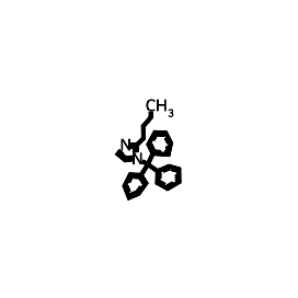 CCCCc1nccn1C(c1ccccc1)(c1ccccc1)c1ccccc1